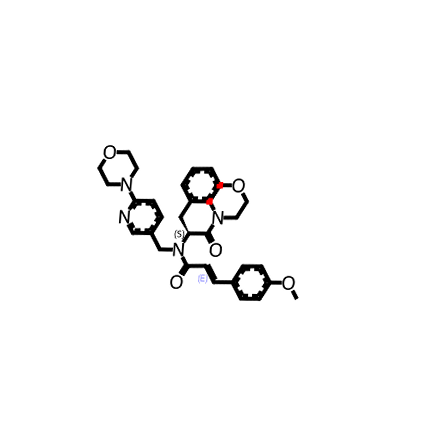 COc1ccc(/C=C/C(=O)N(Cc2ccc(N3CCOCC3)nc2)[C@@H](Cc2ccccc2)C(=O)N2CCOCC2)cc1